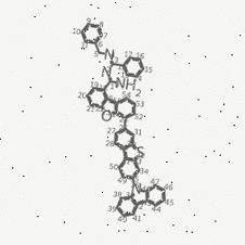 N/C(=N\C(=N/Cc1ccccc1)c1ccccc1)c1cccc2oc3c(-c4ccc5c(c4)sc4cc(-n6c7ccccc7c7ccccc76)ccc45)cccc3c12